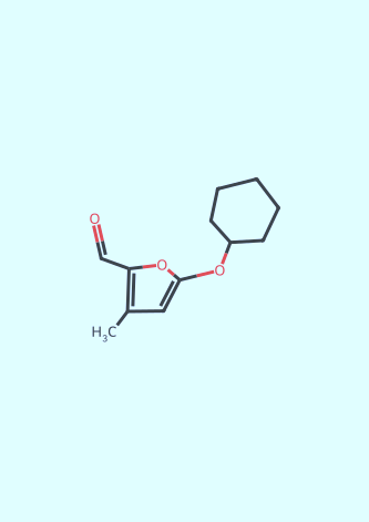 Cc1cc(OC2CCCCC2)oc1C=O